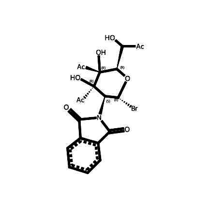 CC(=O)C(O)[C@H]1O[C@H](Br)[C@@H](N2C(=O)c3ccccc3C2=O)[C@](O)(C(C)=O)[C@@]1(O)C(C)=O